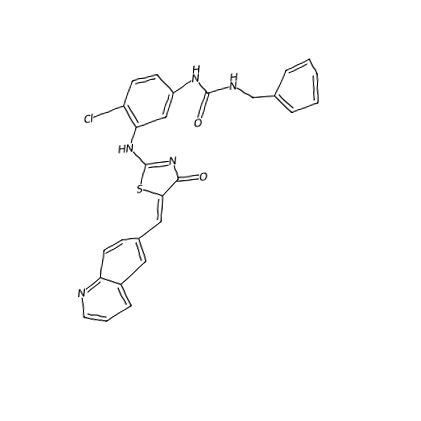 O=C(NCc1ccccc1)Nc1ccc(Cl)c(NC2=NC(=O)/C(=C/c3ccc4ncccc4c3)S2)c1